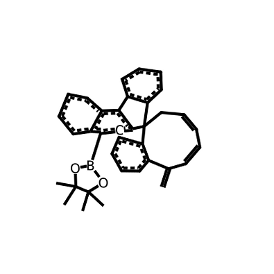 C=C1/C=C\C=C/CC2(c3ccccc31)c1ccccc1-c1c2cc(B2OC(C)(C)C(C)(C)O2)c2ccccc12